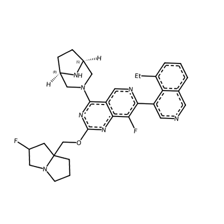 CCc1cccc2cncc(-c3ncc4c(N5C[C@H]6CC[C@@H](C5)N6)nc(OCC56CCCN5CC(F)C6)nc4c3F)c12